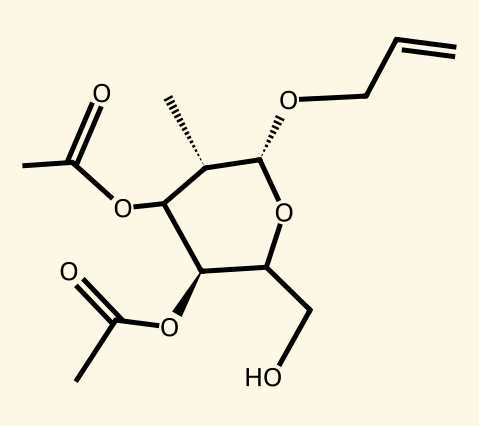 C=CCO[C@@H]1OC(CO)[C@@H](OC(C)=O)C(OC(C)=O)[C@@H]1C